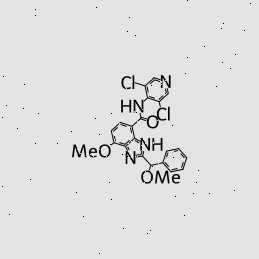 COc1ccc(C(=O)Nc2c(Cl)cncc2Cl)c2[nH]c(C(OC)c3ccccc3)nc12